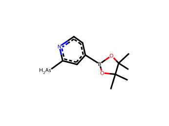 CC1(C)OB(c2ccnc([AsH2])c2)OC1(C)C